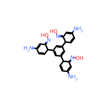 NC1=CC(=NO)C(c2cc(C3C=CC(N)=CC3=NO)cc(C3C=CC(N)=CC3=NO)c2)C=C1